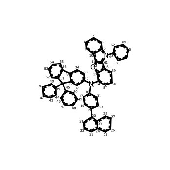 c1ccc(-n2c3ccccc3c3oc4c(N(c5ccc(-c6cccc7ccccc67)cc5)c5ccc6c(c5)C(c5ccccc5)(c5ccccc5)c5ccccc5-6)cccc4c32)cc1